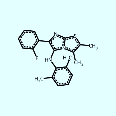 Cc1cccc(C)c1Nc1c(-c2ccccc2F)nc2sc(C)c(C)n12